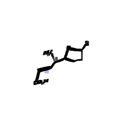 CCC1=NC([C@@H](C)/C=C/C(=O)O)CC1